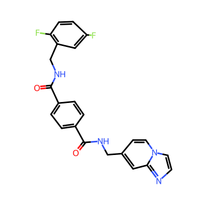 O=C(NCc1ccn2ccnc2c1)c1ccc(C(=O)NCc2cc(F)ccc2F)cc1